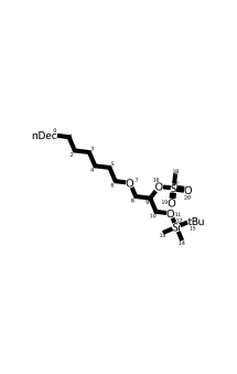 CCCCCCCCCCCCCCCCOCC(CO[Si](C)(C)C(C)(C)C)OS(C)(=O)=O